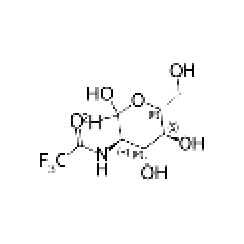 [2H]C1(O)O[C@H](CO)[C@@H](O)[C@H](O)[C@H]1NC(=O)C(F)(F)F